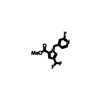 COC(=O)c1cc(C(F)F)cn1Cc1ccnc(F)c1